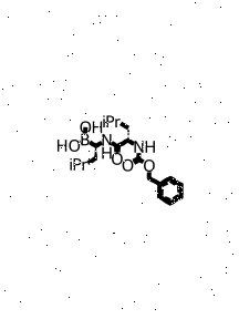 CC(C)C[C@H](NC(=O)[C@H](CC(C)C)NC(=O)OCc1ccccc1)B(O)O